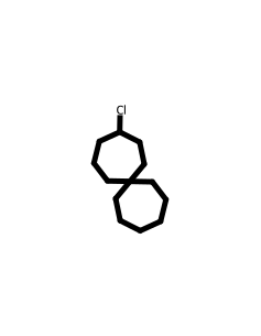 ClC1CCCC2(CCCCCC2)CC1